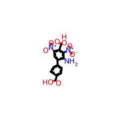 Nc1c(-c2ccc(C(=O)O)cc2)cc([N+](=O)[O-])c(C(=O)O)c1[N+](=O)[O-]